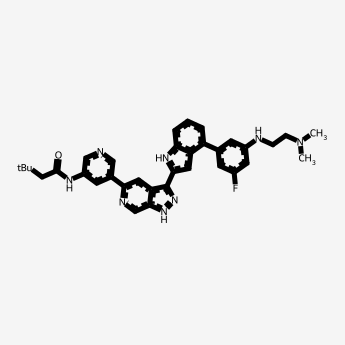 CN(C)CCNc1cc(F)cc(-c2cccc3[nH]c(-c4n[nH]c5cnc(-c6cncc(NC(=O)CC(C)(C)C)c6)cc45)cc23)c1